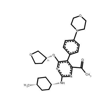 CC(=O)c1nc(N[C@H]2CC[C@@H](C)CC2)nc(O[C@@H]2CCOC2)c1-c1ccc(N2CCOCC2)cc1